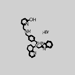 Br.Oc1cccc(CNCc2ccc(CN(Cc3nc4ccccc4[nH]3)C3CCCc4cccnc43)cc2)n1